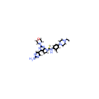 CCN1CCN(c2ccc(NC(=S)N3CCc4c(-c5cnc(N)nc5)nc(N5CCOCC5)nc43)c(C)c2)CC1